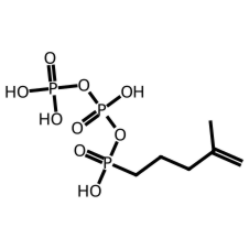 C=C(C)CCCP(=O)(O)OP(=O)(O)OP(=O)(O)O